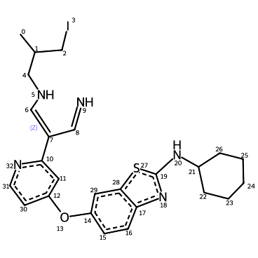 CC(CI)CN/C=C(\C=N)c1cc(Oc2ccc3nc(NC4CCCCC4)sc3c2)ccn1